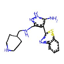 Nc1[nH]nc(NCC2CCNCC2)c1-c1nc2ccccc2s1